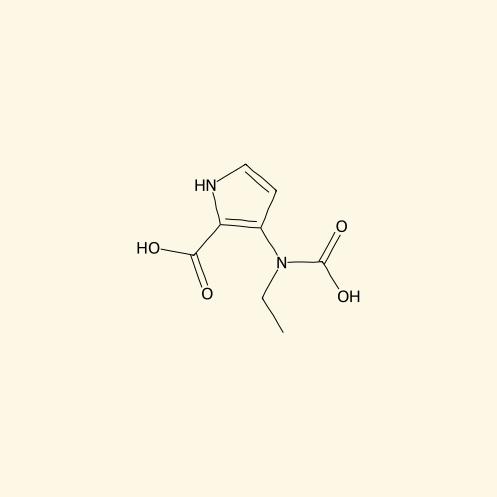 CCN(C(=O)O)c1cc[nH]c1C(=O)O